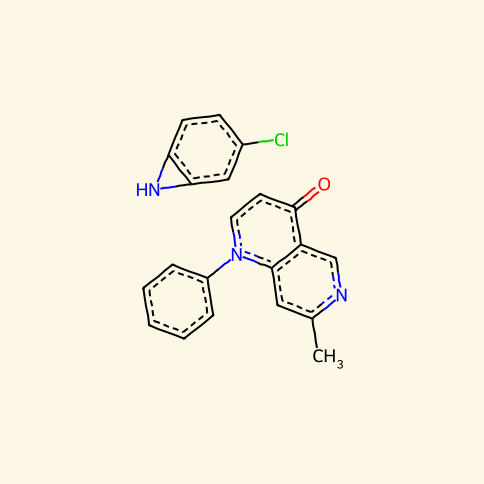 Cc1cc2c(cn1)c(=O)ccn2-c1ccccc1.Clc1ccc2c(c1)N2